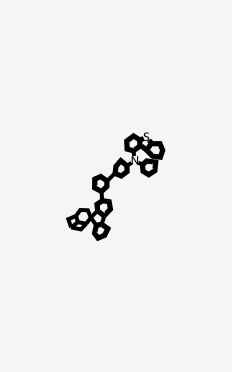 c1ccc(N(c2ccc(-c3cccc(-c4ccc5c(c4)C4(CCC6CC7CC4C67)c4ccccc4-5)c3)cc2)c2cccc3sc4ccccc4c23)cc1